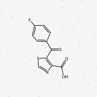 O=C(O)c1ncsc1C(=O)c1ccc(F)cc1